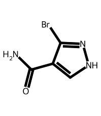 NC(=O)c1c[nH]nc1Br